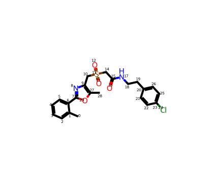 Cc1ccccc1-c1nc(CS(=O)(=O)CC(=O)NCCc2ccc(Cl)cc2)c(C)o1